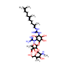 CNC1C(O)=C(C)C(CO)OC1OC1C(OC2C(O)C(O)C(NC(=N)N/C=C(\C)CC/C=C(\C)CCC=C(C)C)C(O)C2NC(=N)N)OC(C)C1(O)C=O